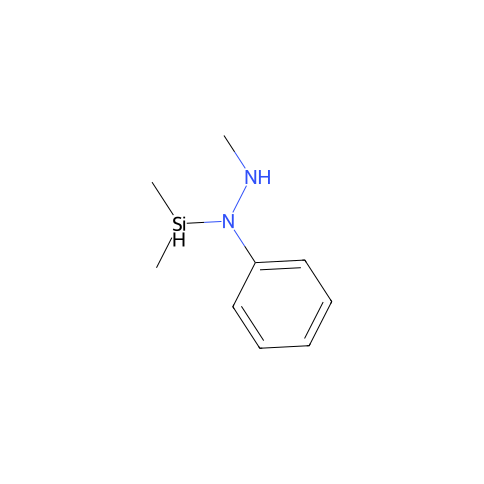 CNN(c1ccccc1)[SiH](C)C